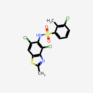 Cc1nc2c(Cl)c(NS(=O)(=O)c3cccc(Cl)c3C)c(Cl)cc2s1